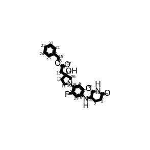 O=C1CCC(Nc2ccc(N3CCC(O)(CC(=O)OCc4ccccc4)C3)c(F)c2)C(=O)N1